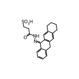 O=C(CCS(=O)(=O)O)NN=C1c2ccccc2Cc2cc3c(cc21)CCCC3